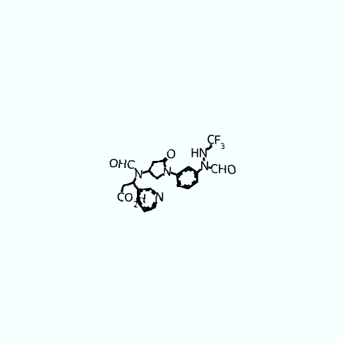 O=CN(NCC(F)(F)F)c1cccc(N2CC(N(C=O)C(CC(=O)O)c3cccnc3)CC2=O)c1